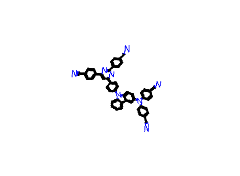 N#Cc1ccc(-c2cc(-c3ccc(-n4c5ccccc5c5cc(N(c6ccc(C#N)cc6)c6ccc(C#N)cc6)ccc54)cc3)nc(-c3ccc(C#N)cc3)n2)cc1